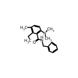 CCc1c(C)ccc(N(C)C)c1C(=O)NCc1ccccc1